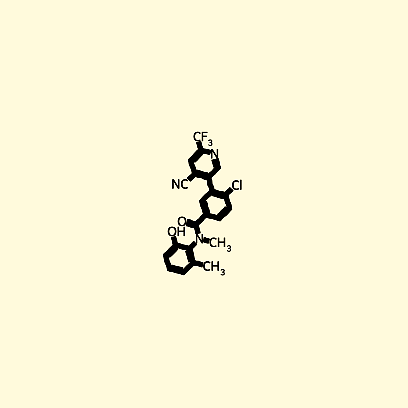 Cc1cccc(O)c1N(C)C(=O)c1ccc(Cl)c(-c2cnc(C(F)(F)F)cc2C#N)c1